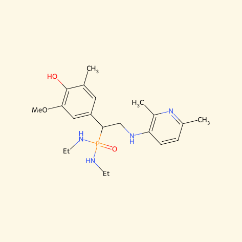 CCNP(=O)(NCC)C(CNc1ccc(C)nc1C)c1cc(C)c(O)c(OC)c1